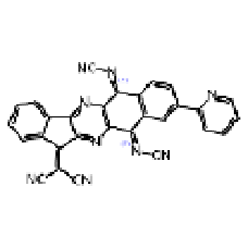 N#C/N=C1/c2ccc(-c3ccccn3)cc2/C(=N\C#N)c2nc3c(nc21)-c1ccccc1C3=C(C#N)C#N